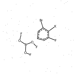 FOB(OF)OF.Fc1cccc(Br)[c]1[K]